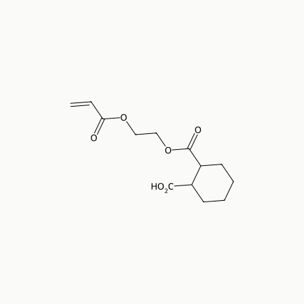 C=CC(=O)OCCOC(=O)C1CCCCC1C(=O)O